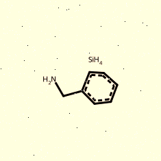 NCc1ccccc1.[SiH4]